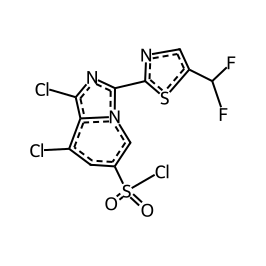 O=S(=O)(Cl)c1cc(Cl)c2c(Cl)nc(-c3ncc(C(F)F)s3)n2c1